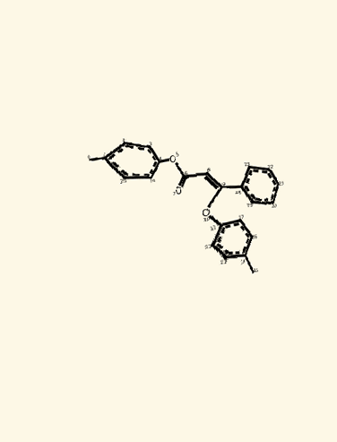 Cc1ccc(OC(=O)C=C(Oc2ccc(C)cc2)c2ccccc2)cc1